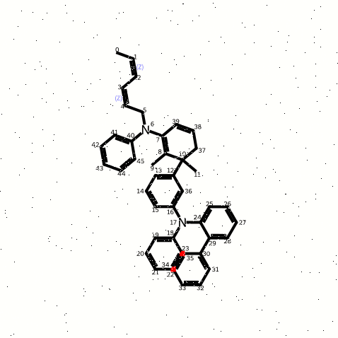 C/C=C\C=C/CN(C1=C(C)C(C)(c2cccc(N(c3ccccc3)c3ccccc3-c3ccccc3)c2)CC=C1)c1ccccc1